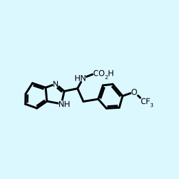 O=C(O)NC(Cc1ccc(OC(F)(F)F)cc1)c1nc2ccccc2[nH]1